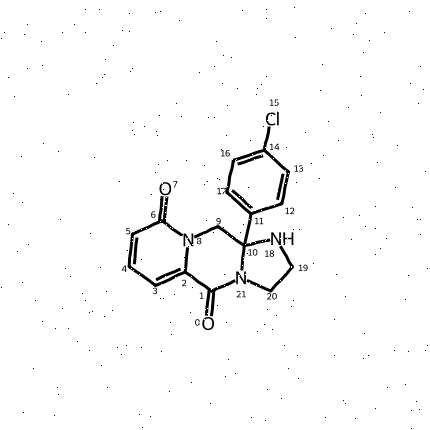 O=C1c2cccc(=O)n2CC2(c3ccc(Cl)cc3)NCCN12